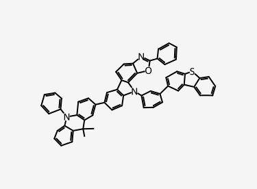 CC1(C)c2ccccc2N(c2ccccc2)c2ccc(-c3ccc4c(c3)c3ccc5nc(-c6ccccc6)oc5c3n4-c3cccc(-c4ccc5sc6ccccc6c5c4)c3)cc21